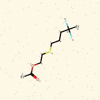 CCC(=O)OCCSCCCC(F)(F)CC